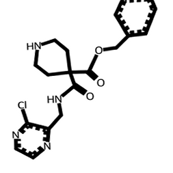 O=C(NCc1nccnc1Cl)C1(C(=O)OCc2ccccc2)CCNCC1